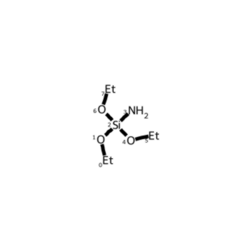 CCO[Si](N)(OCC)OCC